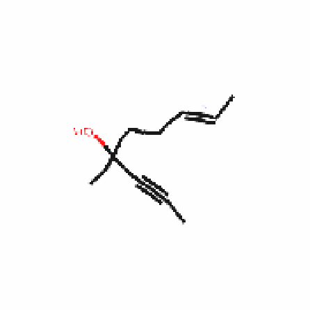 CC#CC(C)(O)CC/C=C/C